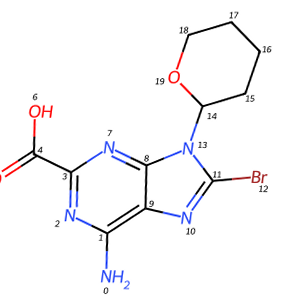 Nc1nc(C(=O)O)nc2c1nc(Br)n2C1CCCCO1